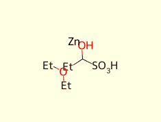 CCC(O)S(=O)(=O)O.CCOCC.[Zn]